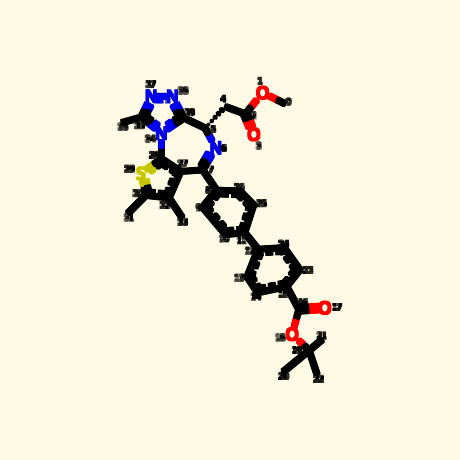 COC(=O)C[C@@H]1N=C(c2ccc(-c3ccc(C(=O)OC(C)(C)C)cc3)cc2)c2c(sc(C)c2C)-n2c(C)nnc21